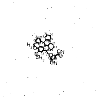 CCC(c1ccc(OC)c(OC)c1)N1CCCCC1CC(c1ccccc1)c1ccccc1.O=C(O)C=CC(=O)O